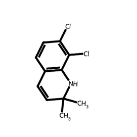 CC1(C)C=Cc2ccc(Cl)c(Cl)c2N1